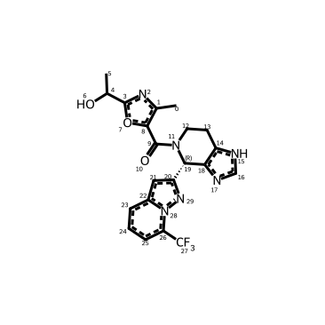 Cc1nc(C(C)O)oc1C(=O)N1CCc2[nH]cnc2[C@@H]1c1cc2cccc(C(F)(F)F)n2n1